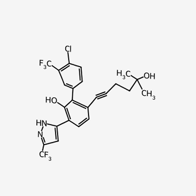 CC(C)(O)CCC#Cc1ccc(-c2cc(C(F)(F)F)n[nH]2)c(O)c1-c1ccc(Cl)c(C(F)(F)F)c1